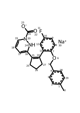 Cc1ccc(COc2ccc(F)cc2C2=C(C3=CC=CN(C(=O)[O-])N3)CCC2)cc1.[Na+]